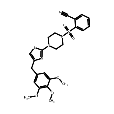 COc1cc(Cc2csc(N3CCN(S(=O)(=O)c4ccccc4C#N)CC3)n2)cc(OC)c1OC